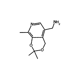 Cc1ncc(CN)c2c1OC(C)(C)OC2